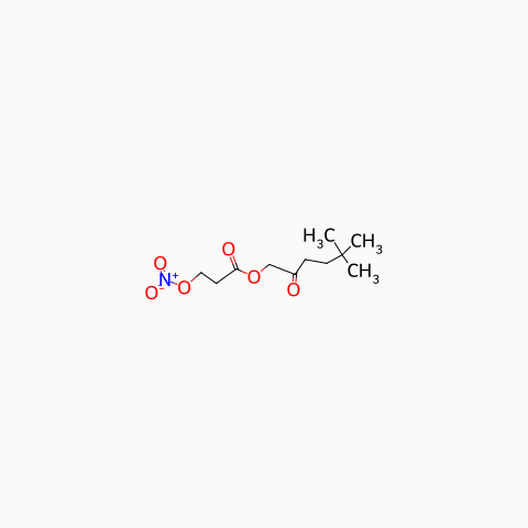 CC(C)(C)CCC(=O)COC(=O)CCO[N+](=O)[O-]